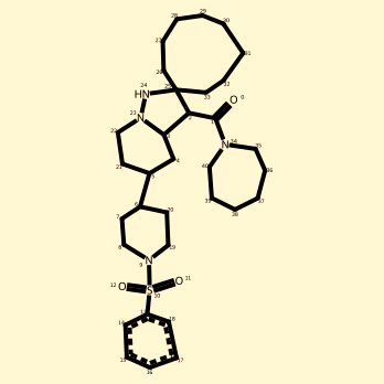 O=C(C1C2CC(C3CCN(S(=O)(=O)c4ccccc4)CC3)CCN2NC12CCCCCCCC2)N1CCCCCC1